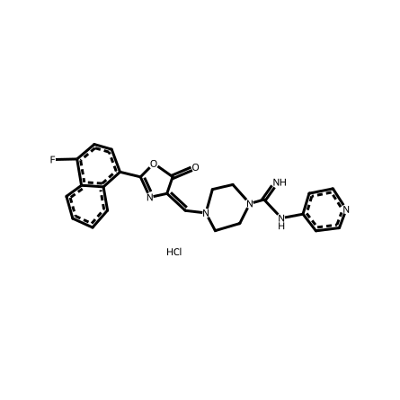 Cl.N=C(Nc1ccncc1)N1CCN(/C=C2/N=C(c3ccc(F)c4ccccc34)OC2=O)CC1